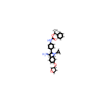 CC(OC(=O)Nc1ccc(-c2c(N)c3ccc(OC4CCOC4)cc3n2C2CC2)cc1)c1ccccc1